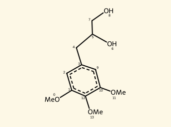 COc1cc(CC(O)CO)cc(OC)c1OC